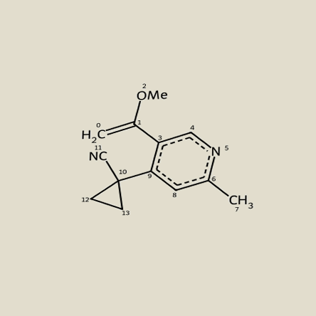 C=C(OC)c1cnc(C)cc1C1(C#N)CC1